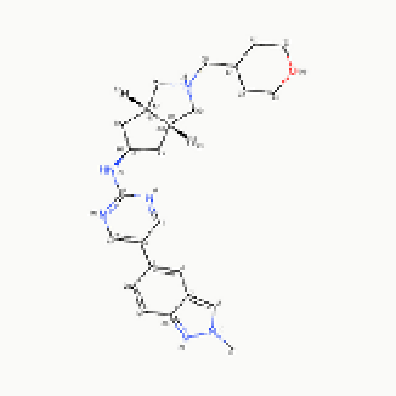 Cn1cc2cc(-c3cnc(N[C@H]4C[C@@H]5CN(CC6CCOCC6)C[C@@H]5C4)nc3)ccc2n1